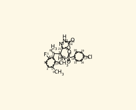 Cc1ccc(F)c(C(C)[C@H](NS(=O)(=O)c2ccc(Cl)cc2)c2n[nH]c(=O)o2)c1C